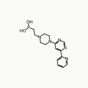 OP(O)CCN1CCN(c2cc(-c3ccccn3)ncn2)CC1